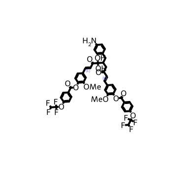 COc1cc(/C=C/C(=O)CC(Cc2ccc(N)cc2)C(O)(O)C(=O)/C=C/c2ccc(OC(=O)c3ccc(OC(F)(F)C(F)F)cc3)c(OC)c2)ccc1OC(=O)c1ccc(OC(F)(F)C(F)F)cc1